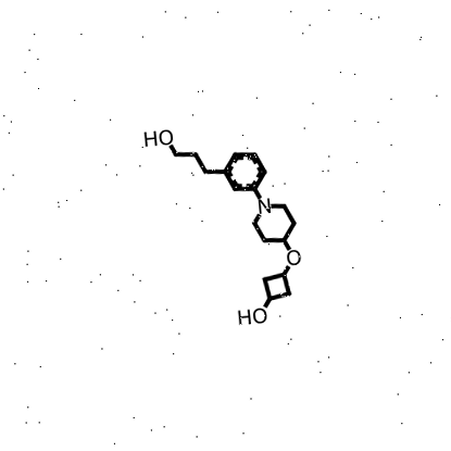 OCCCc1cccc(N2CCC(OC3CC(O)C3)CC2)c1